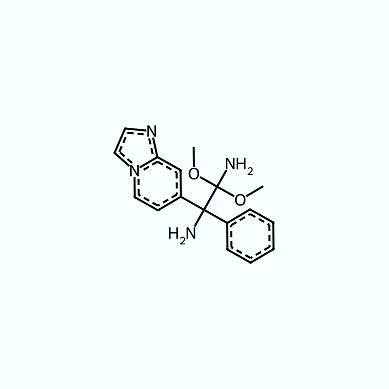 COC(N)(OC)C(N)(c1ccccc1)c1ccn2ccnc2c1